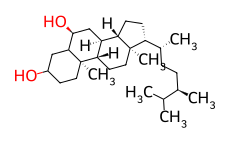 CC(C)[C@H](C)CC[C@@H](C)[C@H]1CC[C@H]2[C@@H]3C[C@H](O)C4CC(O)CC[C@]4(C)[C@H]3CC[C@]12C